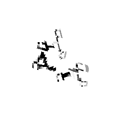 CC1CO1.[Cl][Ti]([Cl])[Cl].[Cl][Ti]([Cl])[Cl]